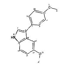 COc1ccc(-c2c[nH]c3ccc(OC)cc23)cc1